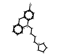 Clc1ccc2c(c1)Cc1ccccc1N2CCCCN1CCCC1